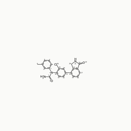 Cc1cccc(N(C(N)=O)c2ccc(-c3cccc4c3CNC4=O)cc2Cl)c1